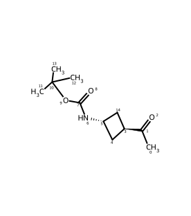 CC(=O)[C@H]1C[C@H](NC(=O)OC(C)(C)C)C1